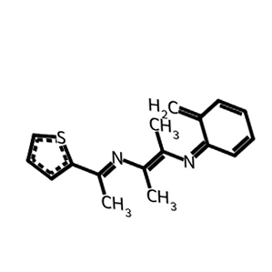 C=C1C=CC=C/C1=N/C(C)=C(C)/N=C(\C)c1cccs1